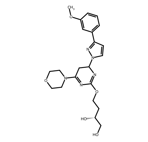 COc1cccc(-c2ccn(C3CC(N4CCOCC4)=NC(OCC[C@@H](O)CO)=N3)n2)c1